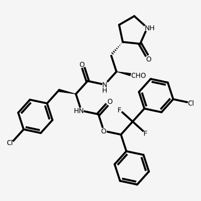 O=C[C@H](C[C@@H]1CCNC1=O)NC(=O)[C@H](Cc1ccc(Cl)cc1)NC(=O)OC(c1ccccc1)C(F)(F)c1cccc(Cl)c1